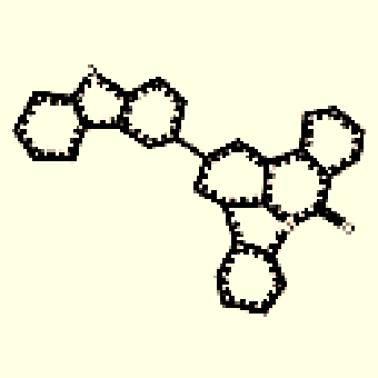 O=c1c2ccccc2c2cc(-c3ccc4oc5ccccc5c4c3)cc3c4ccccc4n1c23